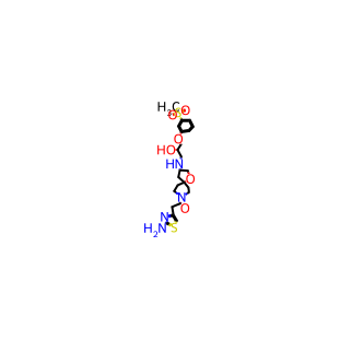 CS(=O)(=O)c1cccc(OCC(O)CNC2COC3(CCN(C(=O)Cc4csc(N)n4)CC3)C2)c1